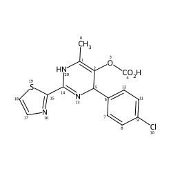 CC1=C(OC(=O)O)C(c2ccc(Cl)cc2)N=C(c2nccs2)N1